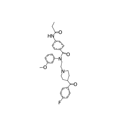 CCC(=O)Nc1ccc(C(=O)N(CCN2CCC(C(=O)c3ccc(F)cc3)CC2)c2cccc(OC)c2)cc1